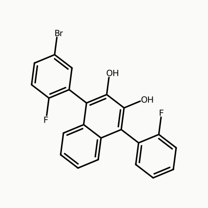 Oc1c(O)c(-c2cc(Br)ccc2F)c2ccccc2c1-c1ccccc1F